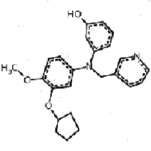 COc1ccc(N(Cc2cccnc2)c2cccc(O)c2)cc1OC1CCCC1